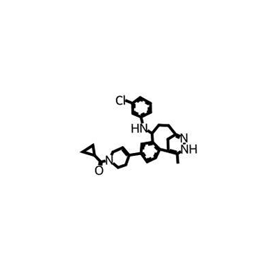 CC1=C2CC(=NN1)CCC(Nc1cccc(Cl)c1)c1cc(C3=CCN(C(=O)C4CC4)CC3)ccc12